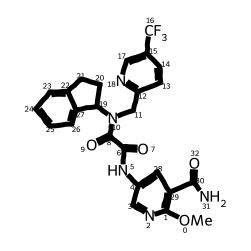 COc1ncc(NC(=O)C(=O)N(Cc2ccc(C(F)(F)F)cn2)C2CCc3ccccc32)cc1C(N)=O